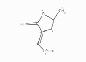 CCCCC/C=C1\CC(C)OC1=O